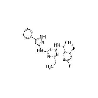 CCc1nc(Nc2cc(-c3ccccc3)[nH]n2)nc(NC(C)c2ccc(F)cc2F)n1